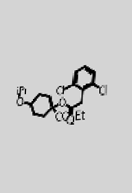 CCOC(=O)C1(OC(=O)Cc2c(Cl)cccc2Cl)CCC(OC(C)C)CC1